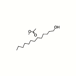 CCCCCCCCCCCCCO.COC(C)=O